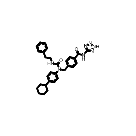 O=C(Nc1nn[nH]n1)c1ccc(CN(C(=O)NCCc2ccccc2)c2ccc(C3CCCCC3)cc2)cc1